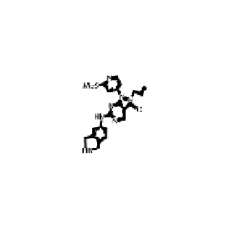 C=CCn1c(=O)c2cnc(Nc3ccc4c(c3)CCNC4)nc2n1-c1ccnc(SC)c1